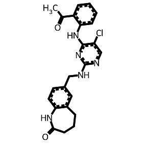 CC(=O)c1ccccc1Nc1nc(NCc2ccc3c(c2)CCCC(=O)N3)ncc1Cl